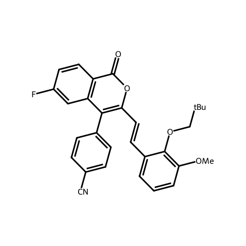 COc1cccc(C=Cc2oc(=O)c3ccc(F)cc3c2-c2ccc(C#N)cc2)c1OCC(C)(C)C